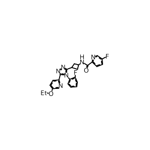 CCOc1ccc(-c2nnc(C3CC(NC(=O)c4ccc(F)cn4)C3)n2-c2ccccc2F)nc1